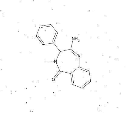 CN1C(=O)c2ccccc2N=C(N)C1c1ccccc1